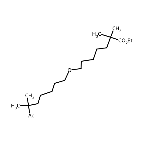 CCOC(=O)C(C)(C)CCCCCOCCCCCC(C)(C)C(C)=O